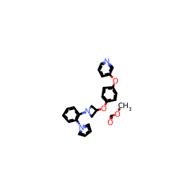 COC=O.c1cncc(Oc2ccc(OC3CN(c4ccccc4-n4cccc4)C3)cc2)c1